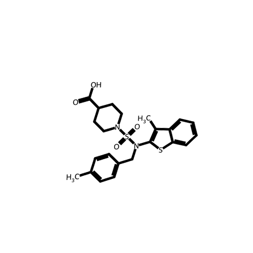 Cc1ccc(CN(c2sc3ccccc3c2C)S(=O)(=O)N2CCC(C(=O)O)CC2)cc1